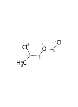 CC(Cl)COCCl